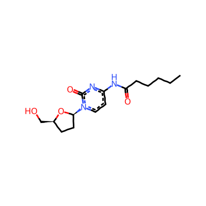 CCCCCC(=O)Nc1ccn([C@H]2CC[C@@H](CO)O2)c(=O)n1